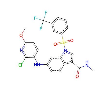 CNC(=O)c1cn(S(=O)(=O)c2cccc(C(F)(F)F)c2)c2cc(Nc3ccc(OC)nc3Cl)ccc12